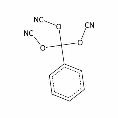 N#COC(OC#N)(OC#N)c1ccccc1